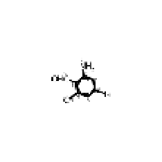 Nc1cc(I)cc(Cl)c1C=O